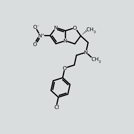 CN(CCOc1ccc(Cl)cc1)C[C@@]1(C)Cn2cc([N+](=O)[O-])nc2O1